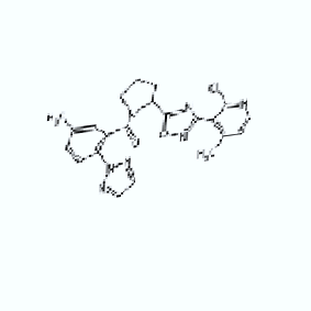 Cc1ccc(-n2nccn2)c(C(=O)N2CCCC2c2nc(-c3c(C)ccnc3Cl)no2)c1